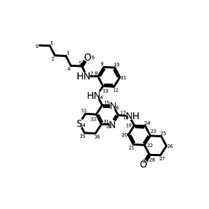 CCCCCC(=O)Nc1ccccc1Nc1nc(Nc2ccc3c(c2)CCCC3=O)nc2c1CSCC2